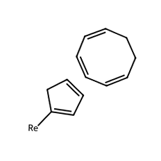 C1=C\C=C/CC\C=C/1.[Re][C]1=CC=CC1